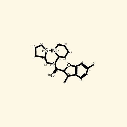 Cc1ccc2c(c1)OC(C(=O)N(CC1CCCS1)C1CCCCN1)C2C